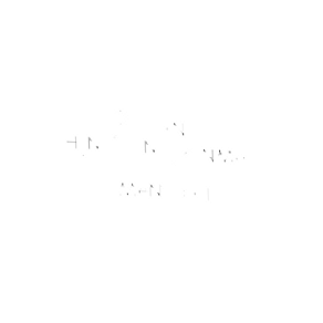 CNc1ncn(CC(N)=O)c1C(O)NC